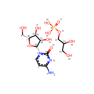 Nc1ccn([C@@H]2O[C@H](CO)[C@@H](O)[C@H]2O)c(=O)n1.O=P(O)(O)OCC(O)CO